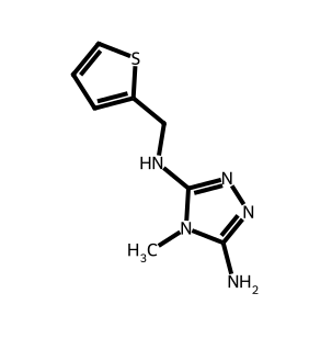 Cn1c(N)nnc1NCc1cccs1